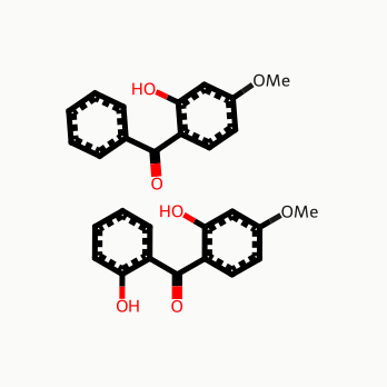 COc1ccc(C(=O)c2ccccc2)c(O)c1.COc1ccc(C(=O)c2ccccc2O)c(O)c1